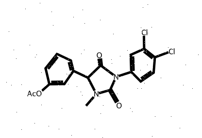 CC(=O)Oc1cccc(C2C(=O)N(c3ccc(Cl)c(Cl)c3)C(=O)N2C)c1